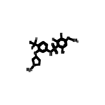 COc1cc(Br)c(S(=O)(=O)Nc2ccc(C(F)(F)F)c(O[C@@H]3CCN(C)C3)c2)c(F)c1F